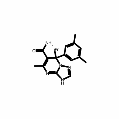 CC1=C(C(N)=O)C(c2cc(C)cc(C)c2)(C(C)C)N2N=CNC2=N1